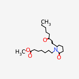 CCCCCC(=O)/C=C/C1CCCC(=O)N1CCCCCCC(=O)OC